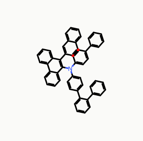 c1ccc(-c2ccc(N(c3ccc(-c4ccccc4-c4ccccc4)cc3)c3c(-c4ccc5ccccc5c4)c4ccccc4c4ccccc34)cc2)cc1